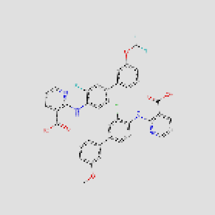 COc1cccc(-c2ccc(Nc3ncccc3C(=O)O)c(Cl)c2)c1.O=C(O)c1cccnc1Nc1ccc(-c2cccc(OC(F)F)c2)cc1F